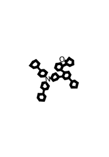 c1ccc(-c2ccc(N(c3ccc(-c4ccccc4)cc3)c3ccc(-c4cc(-c5ccccc5)ccc4-c4cccc5oc6ccccc6c45)cc3)cc2)cc1